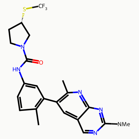 CNc1ncc2cc(-c3cc(NC(=O)N4CC[C@H](SC(F)(F)F)C4)ccc3C)c(C)nc2n1